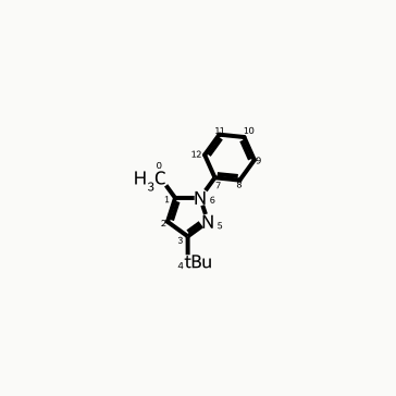 Cc1cc(C(C)(C)C)nn1-c1ccccc1